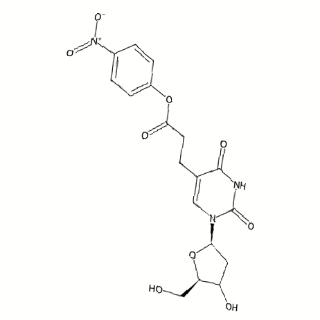 O=C(CCc1cn([C@H]2CC(O)[C@@H](CO)O2)c(=O)[nH]c1=O)Oc1ccc([N+](=O)[O-])cc1